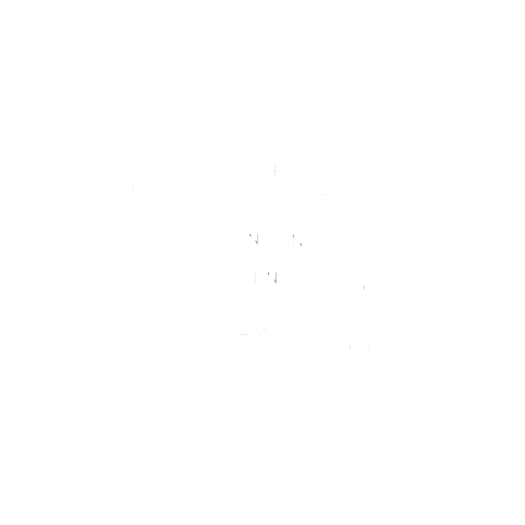 Cc1cc(C)c(Nc2nc(=O)c(F)cn2Cc2ccc(F)cc2)cc1C